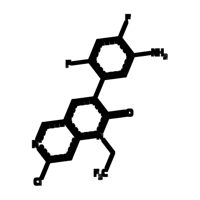 Nc1cc(-c2cc3cnc(Cl)cc3n(CC(F)(F)F)c2=O)c(F)cc1F